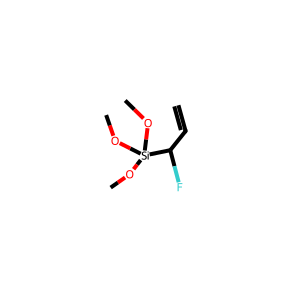 C=CC(F)[Si](OC)(OC)OC